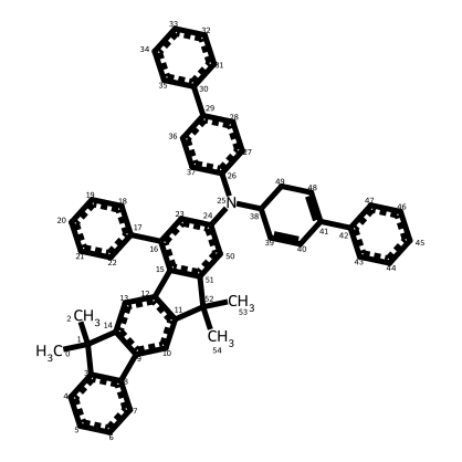 CC1(C)c2ccccc2-c2cc3c(cc21)-c1c(-c2ccccc2)cc(N(c2ccc(-c4ccccc4)cc2)C2C=CC(c4ccccc4)=CC2)cc1C3(C)C